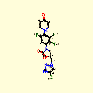 O=C1C=CN(c2c(F)cc(N3CC(Cn4cc(F)nn4)OC3=O)c(F)c2F)CC1